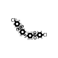 O=S(=O)(c1ccc(Cl)cc1)c1ccc(Sc2ccc(S(=O)(=O)c3ccc(Cl)cc3)cc2)cc1